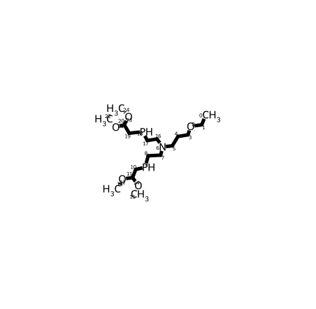 CCOCCCN(CCPCC(OC)OC)CCPCC(OC)OC